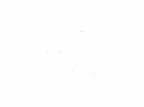 O=S(=O)(O)OO.[KH].[SeH2]